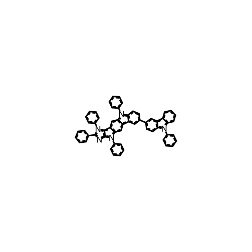 c1ccc(-c2nc3c(c4cc5c(cc4n3-c3ccccc3)c3cc(-c4ccc6c(c4)c4ccccc4n6-c4ccccc4)ccc3n5-c3ccccc3)n2-c2ccccc2)cc1